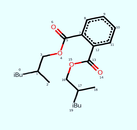 CCC(C)C(C)COC(=O)c1ccccc1C(=O)OCC(C)C(C)CC